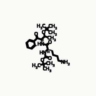 CC(OC(C)(C)C)[C@H](NC(=O)[C@H](CCCCN)NC(=O)OC(C)(C)C)C(=O)c1[c]cccc1